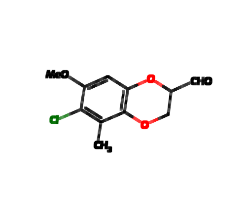 COc1cc2c(c(C)c1Cl)OCC(C=O)O2